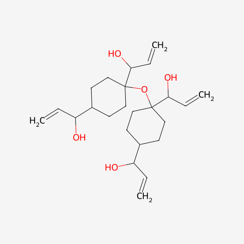 C=CC(O)C1CCC(OC2(C(O)C=C)CCC(C(O)C=C)CC2)(C(O)C=C)CC1